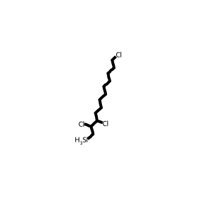 [SiH3]CC(Cl)C(Cl)CCCCCCCCCCl